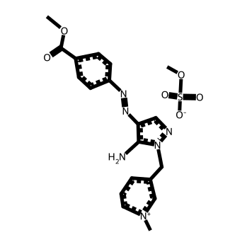 COC(=O)c1ccc(N=Nc2cnn(Cc3ccc[n+](C)c3)c2N)cc1.COS(=O)(=O)[O-]